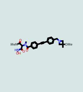 CNC(=O)C(C(=O)NO)N(C)C(=O)c1ccc(C#Cc2ccc(CN3CC(C)(OC)C3)cc2)cc1